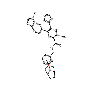 Cc1cnc2ccc(-c3nc(C(=O)NCc4cccc(N5C6CCC5CN(C)C6)n4)c(N)nc3-c3ncco3)cn12